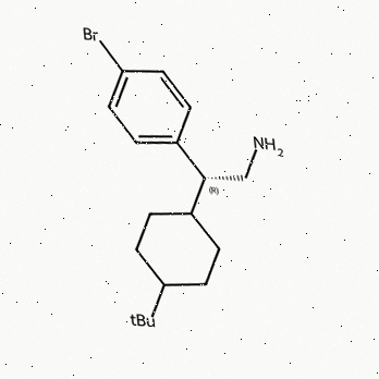 CC(C)(C)C1CCC([C@@H](CN)c2ccc(Br)cc2)CC1